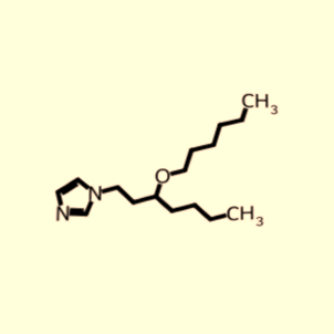 CCCCCCOC(CCCC)CCn1ccnc1